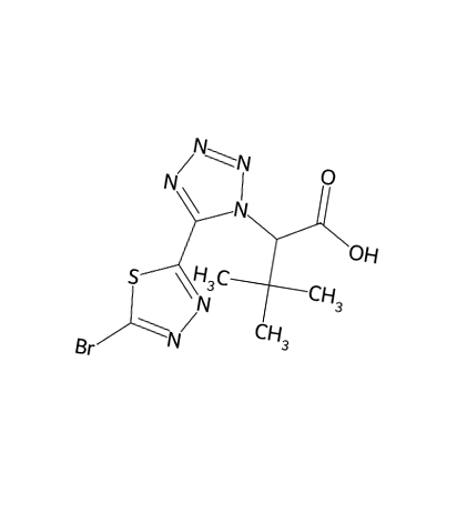 CC(C)(C)C(C(=O)O)n1nnnc1-c1nnc(Br)s1